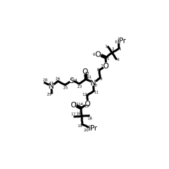 CC(C)CC(C)(C)C(=O)OCCN(CCOC(=O)C(C)(C)CC(C)C)C(=O)CSCCN(C)C